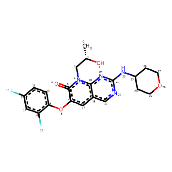 C[C@H](O)Cn1c(=O)c(Oc2ccc(F)cc2F)cc2cnc(NC3CCOCC3)nc21